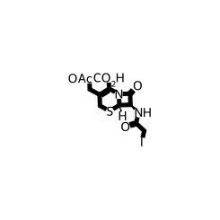 CC(=O)OCC1=C(C(=O)O)N2C(=O)[C@@H](NC(=O)CI)[C@H]2SC1